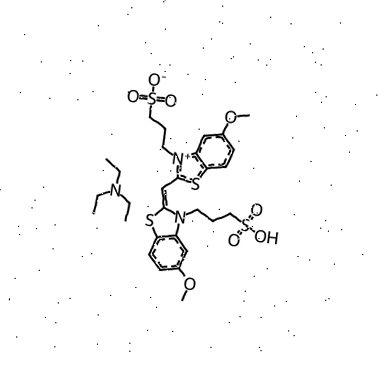 CCN(CC)CC.COc1ccc2c(c1)N(CCCS(=O)(=O)O)C(=Cc1sc3ccc(OC)cc3[n+]1CCCS(=O)(=O)[O-])S2